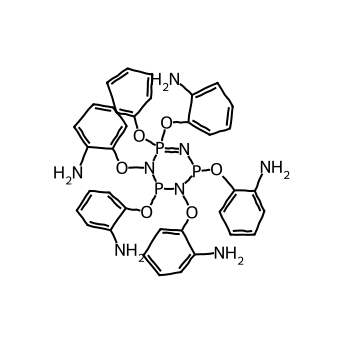 Nc1ccccc1ON1P(Oc2ccccc2N)N=P(Oc2ccccc2)(Oc2ccccc2N)N(Oc2ccccc2N)P1Oc1ccccc1N